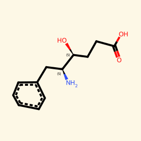 N[C@@H](Cc1ccccc1)[C@@H](O)CCC(=O)O